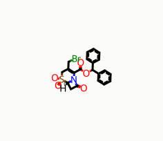 O=C(OC(c1ccccc1)c1ccccc1)C1=C(CBr)CS(=O)(=O)[C@H]2CC(=O)N12